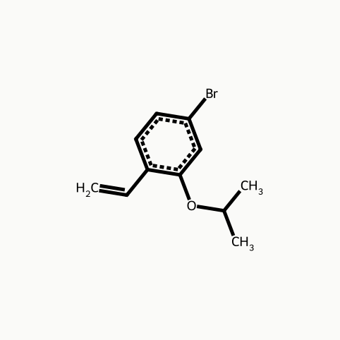 C=Cc1ccc(Br)cc1OC(C)C